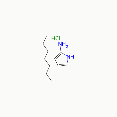 CCCCCCC.Cl.Nc1ccc[nH]1